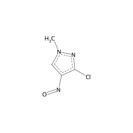 Cn1cc(N=O)c(Cl)n1